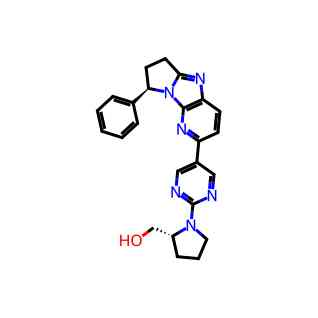 OC[C@H]1CCCN1c1ncc(-c2ccc3nc4n(c3n2)[C@@H](c2ccccc2)CC4)cn1